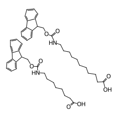 O=C(O)CCCCCCCCCCNC(=O)OCC1c2ccccc2-c2ccccc21.O=C(O)CCCCCCCNC(=O)OCC1c2ccccc2-c2ccccc21